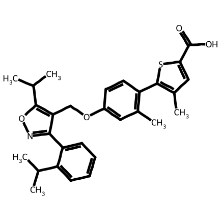 Cc1cc(OCc2c(-c3ccccc3C(C)C)noc2C(C)C)ccc1-c1sc(C(=O)O)cc1C